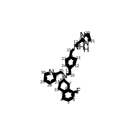 Fc1cccc2c1CC(N(Cc1ccc(CNCc3ncc[nH]3)cc1)Cc1ccccn1)CC2